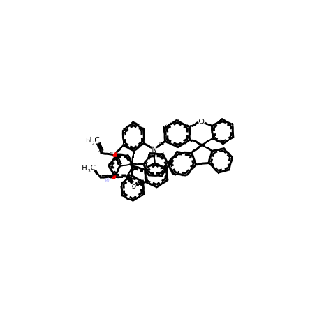 C=CC1=C(/C=C\C)C(c2ccccc2)(c2ccccc2)c2c1cccc2N(c1ccc2c(c1)C1(c3ccccc3O2)c2ccccc2-c2ccccc21)c1cccc2oc3ccccc3c12